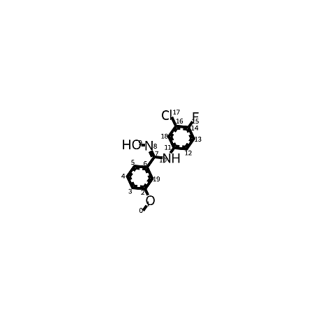 COc1cccc(/C(=N\O)Nc2ccc(F)c(Cl)c2)c1